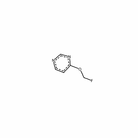 FCOc1ccncn1